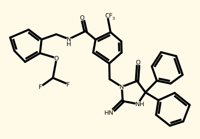 N=C1NC(c2ccccc2)(c2ccccc2)C(=O)N1Cc1ccc(C(F)(F)F)c(C(=O)NCc2ccccc2OC(F)F)c1